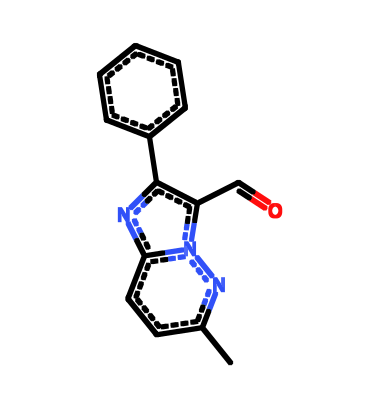 Cc1ccc2nc(-c3ccccc3)c(C=O)n2n1